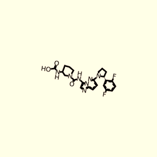 O=C(O)NC1CCCN(C(=O)Nc2cnc3ccc(N4CCC[C@@H]4c4cc(F)ccc4F)nn23)C1